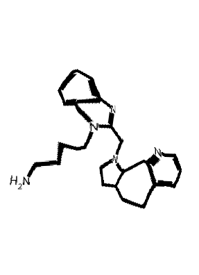 NCCCCn1c(CN2CCC3CCc4cccnc4C32)nc2ccccc21